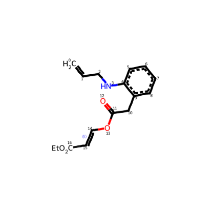 C=CCNc1ccccc1CC(=O)O/C=C/C(=O)OCC